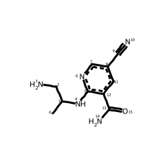 CC(CN)Nc1ncc(C#N)cc1C(N)=O